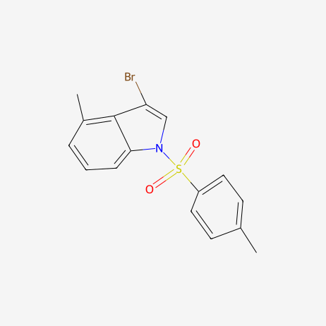 Cc1ccc(S(=O)(=O)n2cc(Br)c3c(C)cccc32)cc1